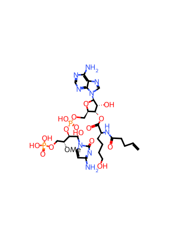 C=CCCC(=O)N[C@@H](CCCCO)C(=O)O[C@H]1[C@@H](O)[C@H](n2cnc3c(N)ncnc32)O[C@@H]1COP(=O)(O)O[C@@H]([C@@H](O)n1ccc(N)nc1=O)[C@@H](COP(=O)(O)O)OC